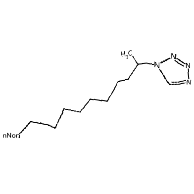 CCCCCCCCCCCCCCCCCC(C)n1cnnn1